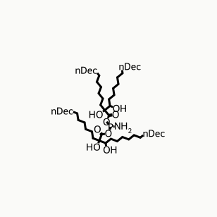 CCCCCCCCCCCCCCCCC(O)C(O)(CCCCCCCCCCCCCCCC)C(=O)OP(N)OC(=O)C(O)(CCCCCCCCCCCCCCCC)C(O)CCCCCCCCCCCCCCCC